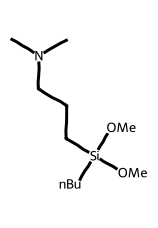 CCCC[Si](CCCN(C)C)(OC)OC